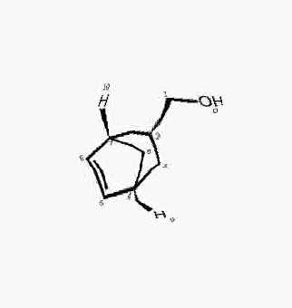 OC[C@H]1C[C@@H]2C=C[C@H]1C2